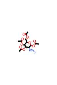 CC(=O)OCC1O[C@@H](OC(C)=O)C(N)[C@@H](OC(C)=O)[C@@H]1OC(C)=O